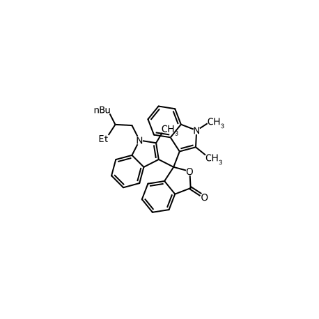 CCCCC(CC)Cn1c(C)c(C2(c3c(C)n(C)c4ccccc34)OC(=O)c3ccccc32)c2ccccc21